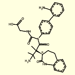 CC(C)(N)C(C)(C(=O)N(C(=O)NCC(=O)O)c1ccc(-c2ccccc2N)cc1)[C@H]1CCc2ccccc2NC1=O